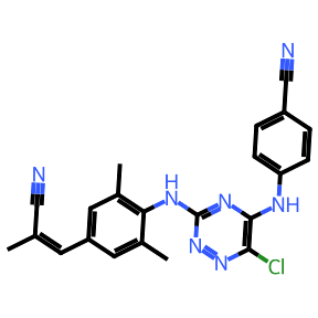 CC(C#N)=Cc1cc(C)c(Nc2nnc(Cl)c(Nc3ccc(C#N)cc3)n2)c(C)c1